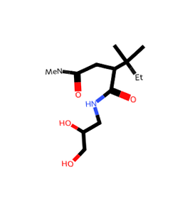 CCC(C)(C)C(CC(=O)NC)C(=O)NCC(O)CO